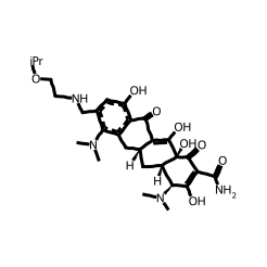 CC(C)OCCNCc1cc(O)c2c(c1N(C)C)C[C@H]1C[C@H]3[C@H](N(C)C)C(O)=C(C(N)=O)C(=O)[C@@]3(O)C(O)=C1C2=O